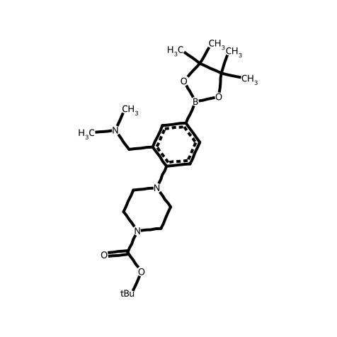 CN(C)Cc1cc(B2OC(C)(C)C(C)(C)O2)ccc1N1CCN(C(=O)OC(C)(C)C)CC1